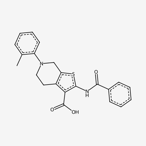 Cc1ccccc1N1CCc2c(sc(NC(=O)c3ccccc3)c2C(=O)O)C1